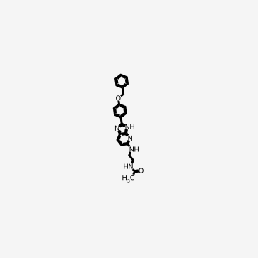 CC(=O)NCCNc1ccc2nc(-c3ccc(OCc4ccccc4)cc3)[nH]c2n1